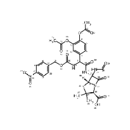 CC(=O)Oc1ccc(C(NC(=O)OCc2ccc([N+](=O)[O-])cc2)C(=O)N[C@]2(NC=O)C(=O)N3[C@@H](C(=O)O)C(C)(C)S[C@@H]32)cc1OC(C)=O